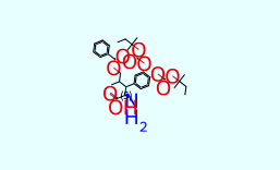 CCC(C)(C)OC(=O)Oc1ccc(C(C(C)COC(=O)c2ccccc2)[C@H](N)C(=O)O)cc1OC(=O)OC(C)(C)CC